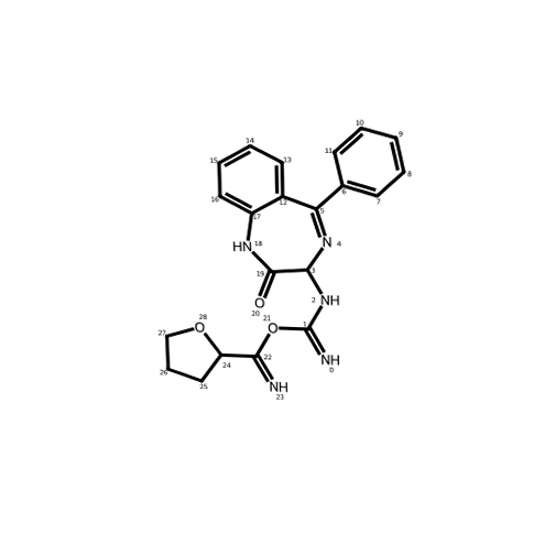 N=C(NC1N=C(c2ccccc2)c2ccccc2NC1=O)OC(=N)C1CCCO1